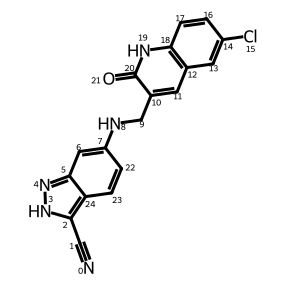 N#Cc1[nH]nc2cc(NCc3cc4cc(Cl)ccc4[nH]c3=O)ccc12